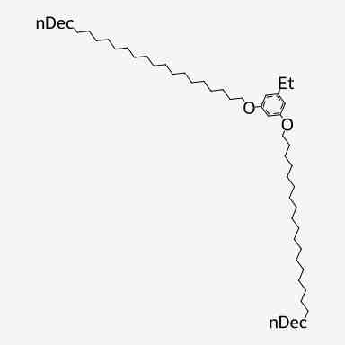 CCCCCCCCCCCCCCCCCCCCCCCCCCCCOc1cc(CC)cc(OCCCCCCCCCCCCCCCCCCCCCCCCCCCC)c1